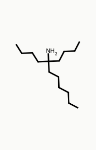 CCCCCCC(N)(CCCC)CCCC